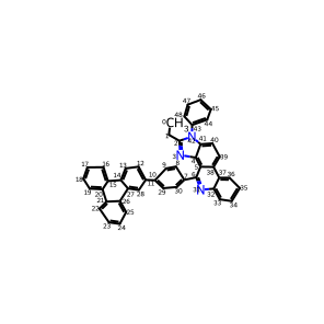 CCc1nc2c3c(-c4ccc(-c5ccc6c7ccccc7c7ccccc7c6c5)cc4)nc4ccccc4c3ccc2n1-c1ccccc1